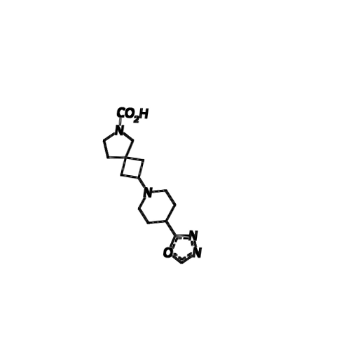 O=C(O)N1CCC2(CC(N3CCC(c4nnco4)CC3)C2)C1